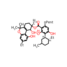 CCCCCc1cc(O)c([C@@H]2CC(C)CC[C@H]2CC)c(O)c1C(=O)OC1(C)CCC2=C(c3c(O)cc(CC)cc3OC2(C)C)C1O